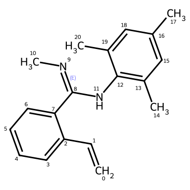 C=Cc1ccccc1/C(=N\C)Nc1c(C)cc(C)cc1C